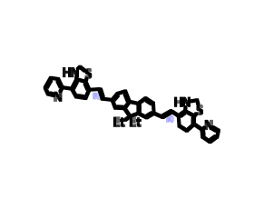 CCC1(CC)c2cc(/C=C/C3=C4NCSC4=C(c4ccccn4)CC3)ccc2-c2ccc(/C=C/c3ccc(-c4ccccn4)c4c3SCN4)cc21